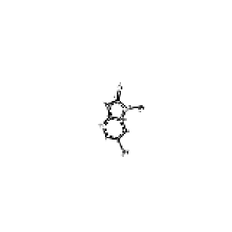 CC(C)c1cnc2nc(=O)n(C(C)C)n2c1